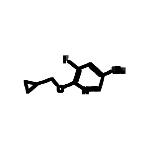 CC(C)(C)c1cnc(OCC2CC2)c(F)c1